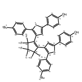 CC(C)(C)c1ccc(-c2sc(-c3ccc(O)cc3)cc2C2=C(c3cc(-c4ccc(O)cc4)sc3-c3ccc(C(C)(C)C)cc3)C(F)(F)C(F)(F)C2(F)F)cc1